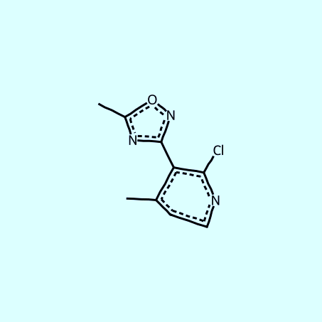 Cc1nc(-c2c(C)ccnc2Cl)no1